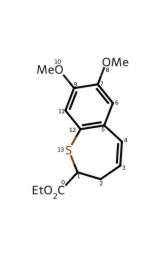 CCOC(=O)C1CC=Cc2cc(OC)c(OC)cc2S1